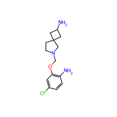 Nc1ccc(Cl)cc1OCN1CCC2(CC(N)C2)C1